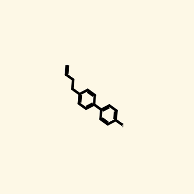 C=CCCc1ccc(-c2ccc(I)cc2)cc1